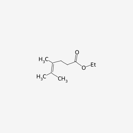 CCOC(=O)CCC(C)=C(C)C